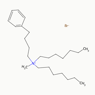 CCCCCCC[N+](C)(CCCCCCC)CCCCc1ccccc1.[Br-]